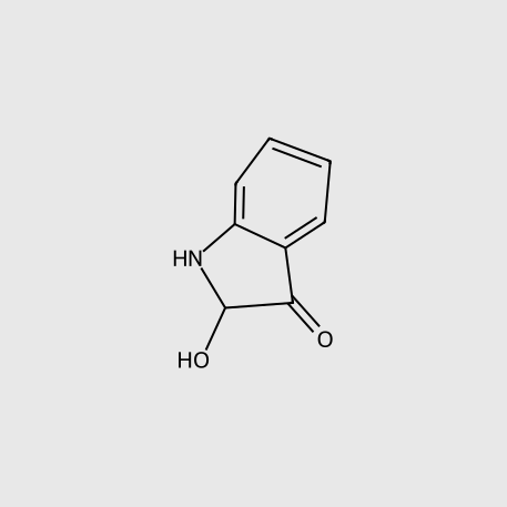 O=C1c2ccccc2NC1O